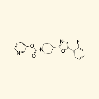 O=C(Oc1cccnc1)N1CCC(c2ncc(-c3ccccc3F)o2)CC1